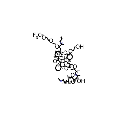 C=C/C=C(\C)C(C[C@@H]1CC[C@@H](C)[C@](O)(C(=O)C(=O)N2CCCC[C@H]2C(=O)O[C@@H](CC(=O)[C@H](C)/C=C(\C)[C@@H](O)[C@@H](OC)C(=O)[C@H](C)C[C@H](C)/C=C/C)[C@H](C)C[C@@H]2CC[C@@H](OCCO)[C@H](OC)C2)O1)OCCOCCOCC(F)(F)F